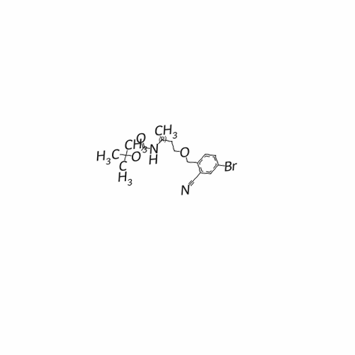 C[C@H](CCOCc1ccc(Br)cc1C#N)NC(=O)OC(C)(C)C